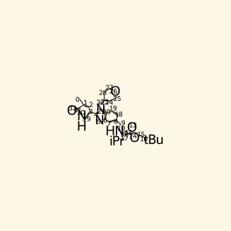 Cc1cc(-c2nc3cc(CN[C@H](C(=O)OCC(C)(C)C)C(C)C)ccc3n2CC2CCOCC2)c[nH]c1=O